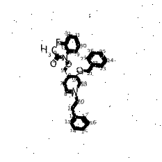 CC(=O)N(OC[C@H]1CCN(CCc2ccccc2)C[C@H]1OCc1ccccc1)c1ccccc1F